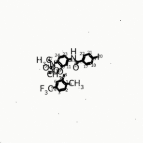 Cc1ccc(C(F)(F)F)cc1COc1cc(NC(=O)c2ccc(I)cc2)ccc1N(C)S(C)(=O)=O